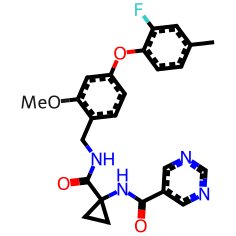 COc1cc(Oc2ccc(C)cc2F)ccc1CNC(=O)C1(NC(=O)c2cncnc2)CC1